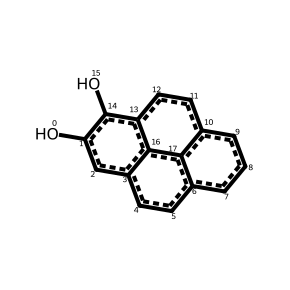 Oc1cc2ccc3cccc4ccc(c1O)c2c34